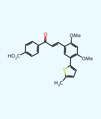 COc1cc(OC)c(-c2ccc(C)s2)cc1/C=C/C(=O)c1ccc(C(=O)O)cc1